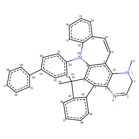 CN1CC=Nc2c3c(c4c(c21)C=Cc1ccccc1N4c1ccc(-c2ccccc2)cc1)C(C)(C)c1ccccc1-3